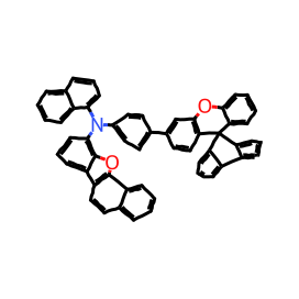 c1ccc2c(c1)Oc1cc(-c3ccc(N(c4cccc5ccccc45)c4cccc5c4oc4c6ccccc6ccc54)cc3)ccc1C21c2ccccc2-c2ccccc21